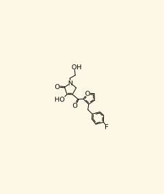 O=C(C1=C(O)C(=O)N(CCO)C1)c1occc1Cc1ccc(F)cc1